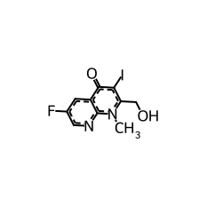 Cn1c(CO)c(I)c(=O)c2cc(F)cnc21